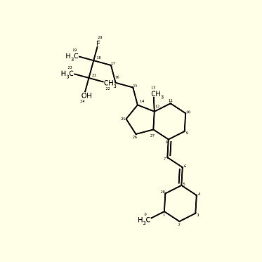 CC1CCC/C(=C/C=C2\CCCC3(C)C(CCCC(C)(F)C(C)(C)O)CCC23)C1